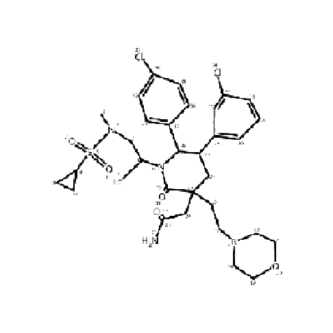 CCC(CN(C)S(=O)(=O)C1CC1)N1C(=O)C(CCN2CCOCC2)(CC(N)=O)CC(c2cccc(Cl)c2)C1c1ccc(Cl)cc1